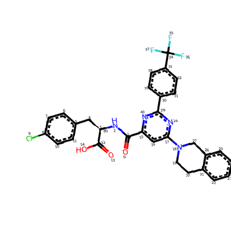 O=C(N[C@H](Cc1ccc(Cl)cc1)C(=O)O)c1cc(N2CCc3ccccc3C2)nc(-c2ccc(C(F)(F)F)cc2)n1